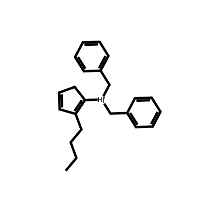 CCCCC1=[C]([Hf]([CH2]c2ccccc2)[CH2]c2ccccc2)CC=C1